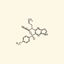 C=CCC(N=[N+]=[N-])c1nc2cc[nH]c2nc1S(=O)(=O)c1ccc(C)cc1